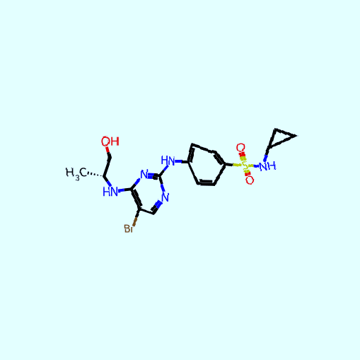 C[C@H](CO)Nc1nc(Nc2ccc(S(=O)(=O)NC3CC3)cc2)ncc1Br